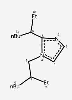 CCCCC(CC)Cn1ccnc1C(CC)CCCC